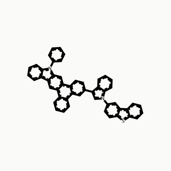 c1ccc(-n2c3ccccc3c3cc4c5ccccc5c5cc(-c6cn(-c7ccc8sc9ccccc9c8c7)c7ccccc67)ccc5c4cc32)cc1